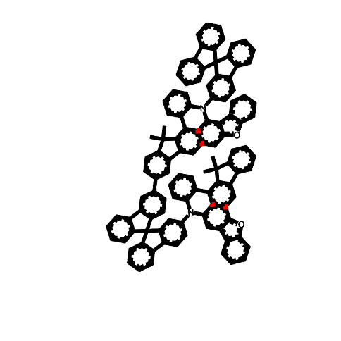 CC1(C)c2ccccc2-c2cccc(-c3ccccc3N(c3ccc4c(c3)C3(c5ccccc5-c5cc(-c6ccc7c(c6)-c6cccc(-c8ccccc8N(c8ccc9c(c8)C8(c%10ccccc%10-c%10ccccc%108)c8ccccc8-9)c8cccc9oc%10ccccc%10c89)c6C7(C)C)ccc53)c3ccccc3-4)c3ccc4oc5ccccc5c4c3)c21